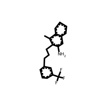 Cc1c(CCCc2cccc(C(F)(F)F)c2)c(N)cc2ccccc12